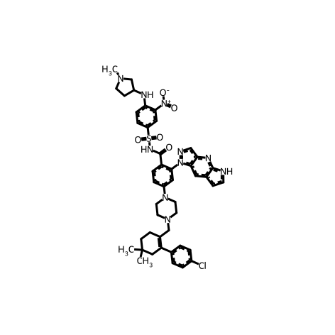 CN1CCC(Nc2ccc(S(=O)(=O)NC(=O)c3ccc(N4CCN(CC5=C(c6ccc(Cl)cc6)CC(C)(C)CC5)CC4)cc3-n3ncc4nc5[nH]ccc5cc43)cc2[N+](=O)[O-])C1